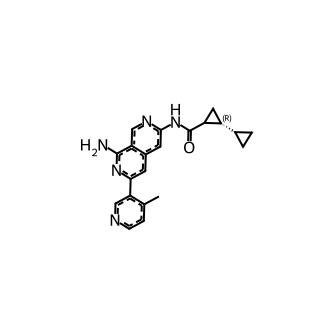 Cc1ccncc1-c1cc2cc(NC(=O)C3C[C@@H]3C3CC3)ncc2c(N)n1